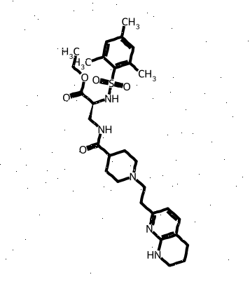 CCOC(=O)[C@H](CNC(=O)C1CCN(CCc2ccc3c(n2)NCCC3)CC1)NS(=O)(=O)c1c(C)cc(C)cc1C